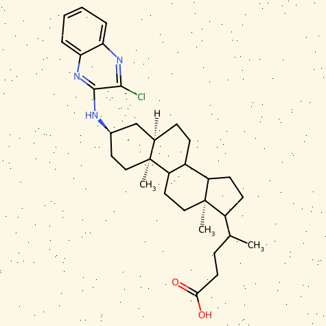 CC(CCC(=O)O)C1CCC2C3CC[C@@H]4C[C@H](Nc5nc6ccccc6nc5Cl)CC[C@]4(C)C3CC[C@]12C